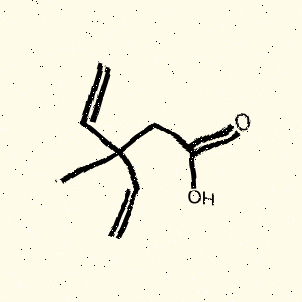 [CH2]C(C=C)(C=C)CC(=O)O